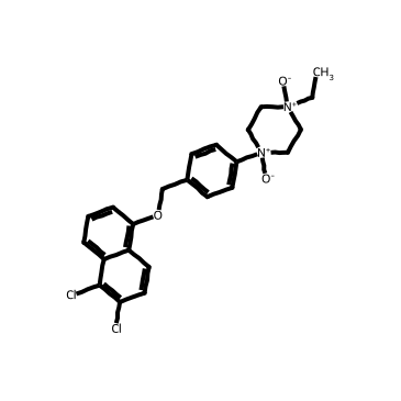 CC[N+]1([O-])CC[N+]([O-])(c2ccc(COc3cccc4c(Cl)c(Cl)ccc34)cc2)CC1